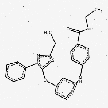 CCNC(=O)c1ccc(Nc2cc(Oc3sc(CC)nc3-c3ccccc3)ccn2)cc1